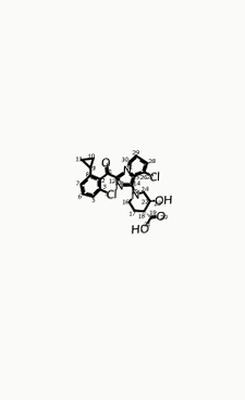 O=C(c1c(Cl)cccc1C1CC1)c1nc(N2CC[C@@H](C(=O)O)[C@H](O)C2)c2c(Cl)cccn12